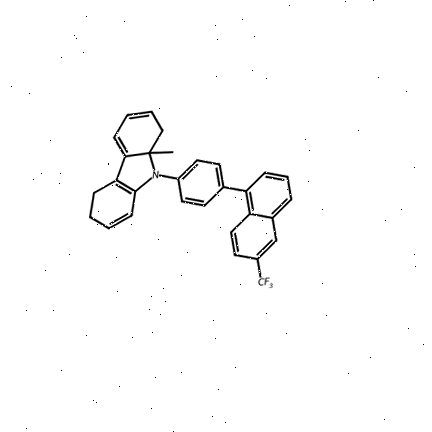 CC12CC=CC=C1C1=C(C=CCC1)N2c1ccc(-c2cccc3cc(C(F)(F)F)ccc23)cc1